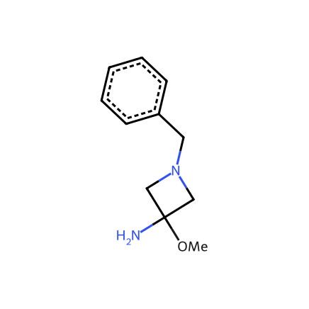 COC1(N)CN(Cc2ccccc2)C1